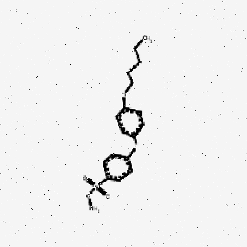 CCCCCOc1ccc(Oc2ccc(S(=O)(=O)ON)cc2)cc1